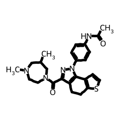 CC(=O)Nc1ccc(-n2nc(C(=O)N3CCN(C)CC(C)C3)c3c2-c2ccsc2CC3)cc1